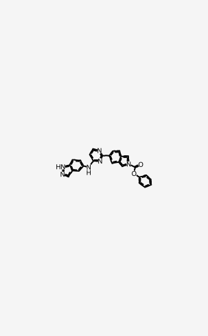 O=C(Oc1ccccc1)n1cc2ccc(-c3nccc(Nc4ccc5[nH]ncc5c4)n3)cc2c1